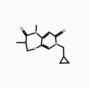 CC1CCc2cn(CC3CC3)c(=O)cc2N(C)C1=O